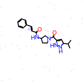 CC(C)C1C=C(C(=O)N2CCC(NC(=O)/C=C/c3ccccc3)C2)NN1